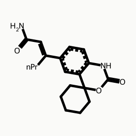 CCC/C(=C\C(N)=O)c1ccc2c(c1)C1(CCCCC1)OC(=O)N2